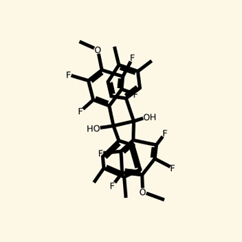 COc1c(F)c(F)c(C(O)(c2ccc(C)c(C)c2)C(O)(c2ccc(C)c(C)c2)c2c(F)c(F)c(OC)c(F)c2F)c(F)c1F